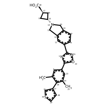 Cc1cc(-c2nc(-c3ccc4c(c3)CN([C@H]3C[C@H](C(=O)O)C3)C4)no2)cc(C)c1-c1ccsc1